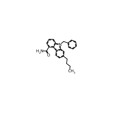 CCCCc1c[c]c2c3c(C(N)=O)cccc3n(Cc3ccccc3)c2c1